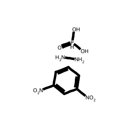 NN.O=[N+]([O-])c1cccc([N+](=O)[O-])c1.O=[PH](O)O